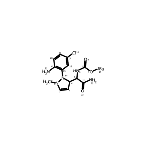 CN1C=CC(C(NC(=O)OC(C)(C)C)C(N)=O)N1c1cc(Cl)ccc1N